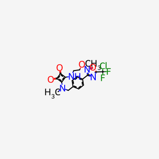 COCCNc1c(N(C)Cc2ccc(-c3noc(C(F)(F)Cl)n3)cc2)c(=O)c1=O